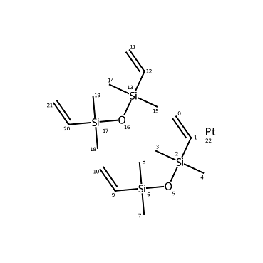 C=C[Si](C)(C)O[Si](C)(C)C=C.C=C[Si](C)(C)O[Si](C)(C)C=C.[Pt]